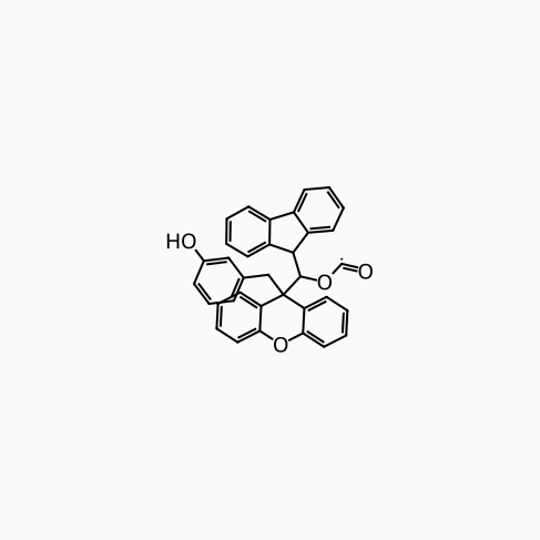 O=[C]OC(C1c2ccccc2-c2ccccc21)C1(Cc2cccc(O)c2)c2ccccc2Oc2ccccc21